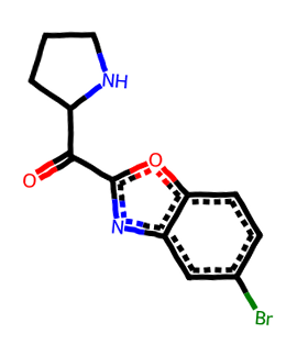 O=C(c1nc2cc(Br)ccc2o1)C1CCCN1